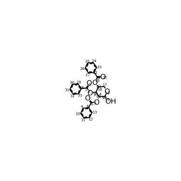 O=C(O[C@@H]1[C@@H](OC(=O)c2ccccc2)[C@@H](O)OC[C@@H]1OC(=O)c1ccccc1)c1ccccc1